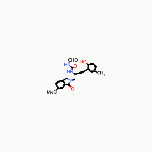 COc1ccc2c(c1)C(=O)N(C[C@@H](C#Cc1cc(C)ccc1O)NC(=O)NC=O)C2